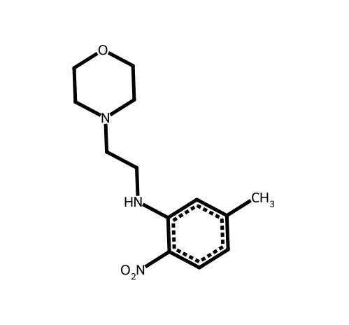 Cc1ccc([N+](=O)[O-])c(NCCN2CCOCC2)c1